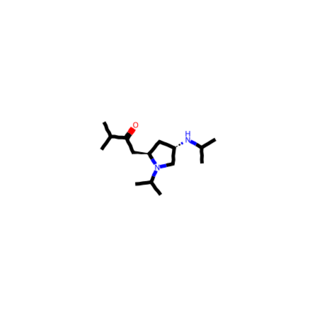 CC(C)N[C@H]1C[C@H](CC(=O)C(C)C)N(C(C)C)C1